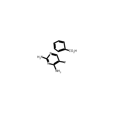 Nc1ncc(F)c(N)n1.O=C(O)c1ccccc1